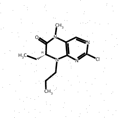 CCCN1c2nc(Cl)ncc2N(C)C(=O)[C@H]1CC